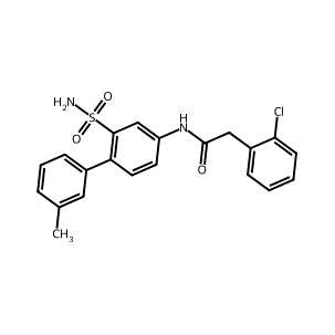 Cc1cccc(-c2ccc(NC(=O)Cc3ccccc3Cl)cc2S(N)(=O)=O)c1